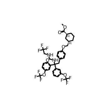 COC(=O)[C@H]1CCC[C@@H](COc2ccc(CC(NC(=O)NCC(F)(F)F)(c3cccc(OC(F)(F)F)c3)c3cccc(OC(F)(F)F)c3)cc2)C1